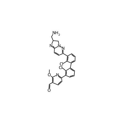 COc1nc(-c2cccc(-c3cccc(C4=NN5CC(CN)N=C5C=C4)c3Cl)c2Cl)ccc1C=O